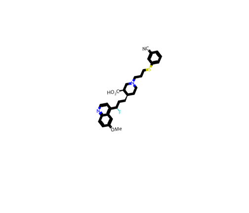 COc1ccc2nccc([C@@H](F)CC[C@@H]3CCN(CCCSc4cccc(C#N)c4)C[C@@H]3C(=O)O)c2c1